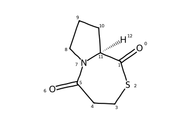 O=C1SCCC(=O)N2CCC[C@@H]12